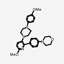 COc1ccc(N2CCN(c3ccc(OC)nc3-c3ccc(N4CCOCC4)cc3)CC2)cc1